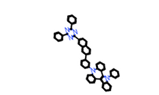 c1ccc(-c2nc(-c3ccccc3)nc(-c3ccc4ccc(-c5cccc(N6c7ccccc7-c7c(n(-c8ccccc8)c8ccccc78)-c7ccccc76)c5)cc4c3)n2)cc1